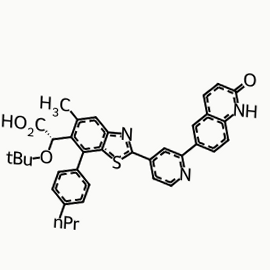 CCCc1ccc(-c2c([C@H](OC(C)(C)C)C(=O)O)c(C)cc3nc(-c4ccnc(-c5ccc6[nH]c(=O)ccc6c5)c4)sc23)cc1